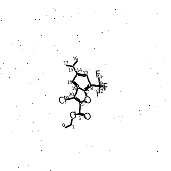 CCOC(=O)c1oc2c(C(F)(F)F)cc(C(C)C)cc2c1Cl